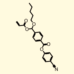 C=CC(=O)OC(OCCCCC)c1ccc(C(=O)Oc2ccc(C#N)cc2)cc1